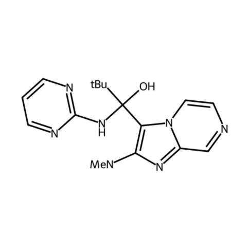 CNc1nc2cnccn2c1C(O)(Nc1ncccn1)C(C)(C)C